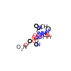 CC(C)CC(NC(=O)N1CCCCCC1)C(=O)NC(Cc1cn(C)c2ccccc12)C(=O)N[C@H](Cc1ccccn1)C(=O)Oc1cccc(CO[N+](=O)[O-])c1